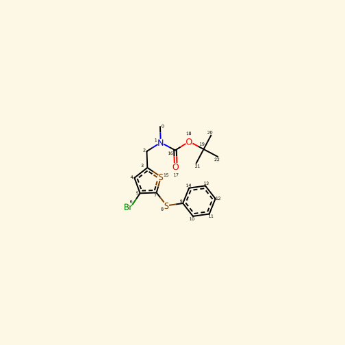 CN(Cc1cc(Br)c(Sc2ccccc2)s1)C(=O)OC(C)(C)C